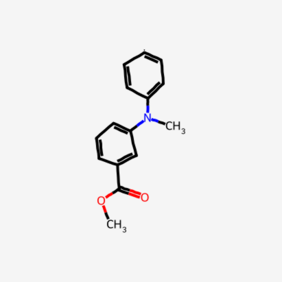 COC(=O)c1cccc(N(C)c2cc[c]cc2)c1